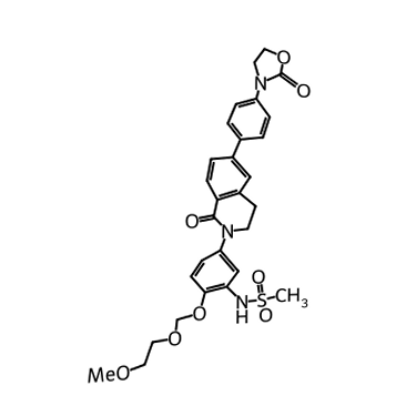 COCCOCOc1ccc(N2CCc3cc(-c4ccc(N5CCOC5=O)cc4)ccc3C2=O)cc1NS(C)(=O)=O